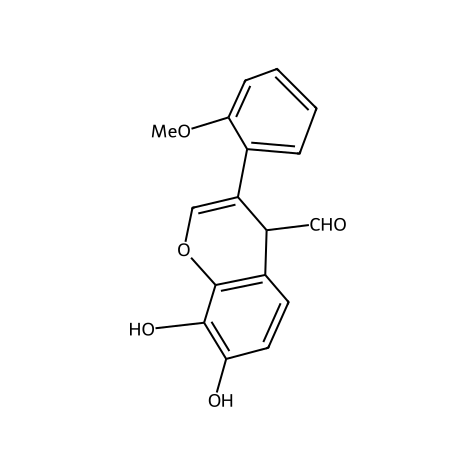 COc1ccccc1C1=COc2c(ccc(O)c2O)C1C=O